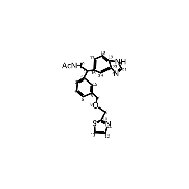 CC(=O)NC(c1cccc(COCc2nccs2)c1)c1ccc2[nH]cnc2c1